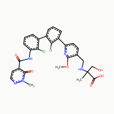 COc1nc(-c2cccc(-c3cccc(NC(=O)c4ccnn(C)c4=O)c3Cl)c2Cl)ccc1CNC(C)(CO)C(=O)O